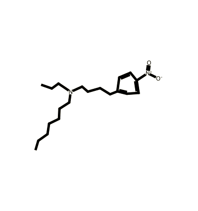 CCCCCCCN(CCC)CCCCc1ccc([N+](=O)[O-])cc1